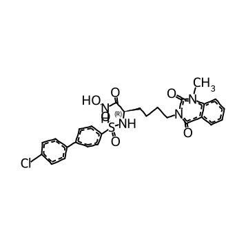 Cn1c(=O)n(CCCC[C@@H](NS(=O)(=O)c2ccc(-c3ccc(Cl)cc3)cc2)C(=O)NO)c(=O)c2ccccc21